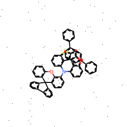 c1ccc(-c2ccc3c(c2)oc2cccc(N(c4cccc5c4Oc4ccccc4C54c5ccccc5-c5ccccc54)c4cccc5sc6ccc(-c7ccccc7)cc6c45)c23)cc1